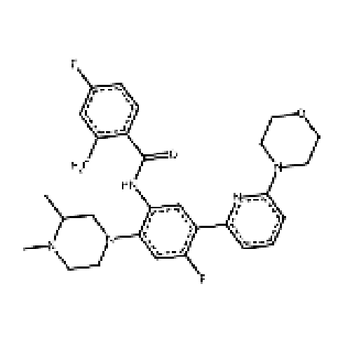 CC1CN(c2cc(F)c(-c3cccc(N4CCOCC4)n3)cc2NC(=O)c2ccc(F)cc2C(F)(F)F)CCN1C